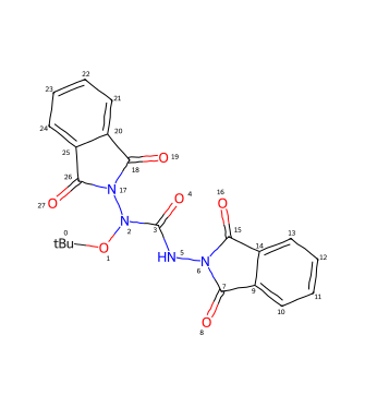 CC(C)(C)ON(C(=O)NN1C(=O)c2ccccc2C1=O)N1C(=O)c2ccccc2C1=O